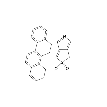 C1=Cc2ccc3c(c2CC1)CCc1ccccc1-3.O=S1(=O)C=C2C=NC=C2C1